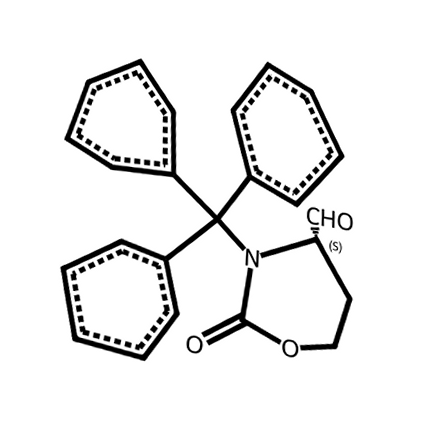 O=C[C@@H]1CCOC(=O)N1C(c1ccccc1)(c1ccccc1)c1ccccc1